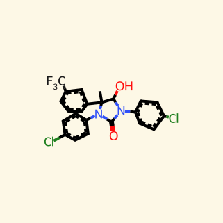 CC1(c2cccc(C(F)(F)F)c2)C(O)N(c2ccc(Cl)cc2)C(=O)N1c1ccc(Cl)cc1